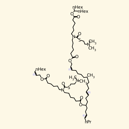 CCC/C=C/CCC(CC/C=C/CCCC(C)CCCC/C=C\COC(=O)CCCCCN(CCCCCC(=O)OC(CCCCCC)CCCCCC)C(=O)SCCN(C)C)OC(=O)CCCCCN(CCCCCC(=O)OC/C=C\CCCCCC)C(=O)SCCN(C)C